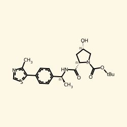 Cc1ncsc1-c1ccc([C@H](C)NC(=O)[C@@H]2C[C@H](O)CN2C(=O)OC(C)(C)C)cc1